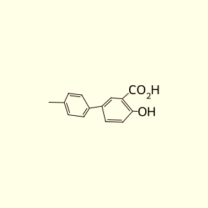 Cc1ccc(-c2ccc(O)c(C(=O)O)c2)cc1